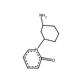 NC1CCCC(n2ccccc2=O)C1